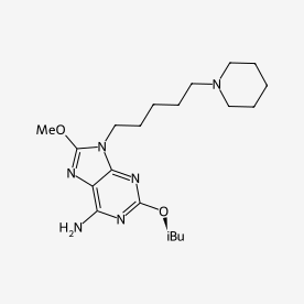 CC[C@H](C)Oc1nc(N)c2nc(OC)n(CCCCCN3CCCCC3)c2n1